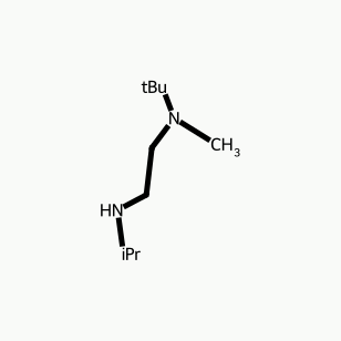 CC(C)NCCN(C)C(C)(C)C